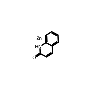 O=c1ccc2ccccc2[nH]1.[Zn]